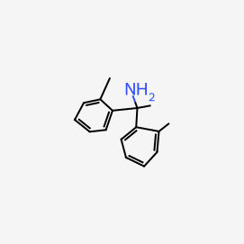 Cc1ccccc1C(C)(N)c1ccccc1C